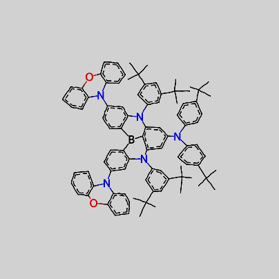 CC(C)(C)c1ccc(N(c2ccc(C(C)(C)C)cc2)c2cc3c4c(c2)N(c2cc(C(C)(C)C)cc(C(C)(C)C)c2)c2cc(N5c6ccccc6Oc6ccccc65)ccc2B4c2ccc(N4c5ccccc5Oc5ccccc54)cc2N3c2cc(C(C)(C)C)cc(C(C)(C)C)c2)cc1